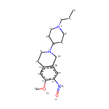 CCCN1CCC(N2CCc3cc(OC)c(N=O)cc3C2)CC1